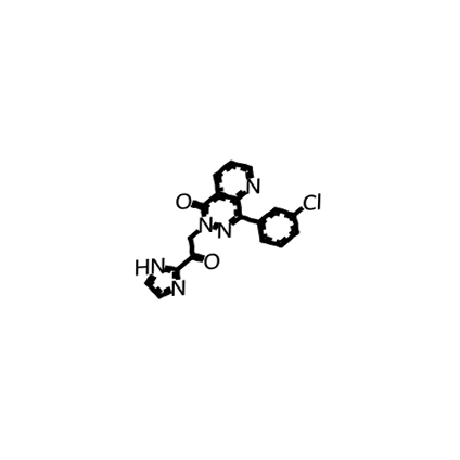 O=C(Cn1nc(-c2cccc(Cl)c2)c2ncccc2c1=O)c1ncc[nH]1